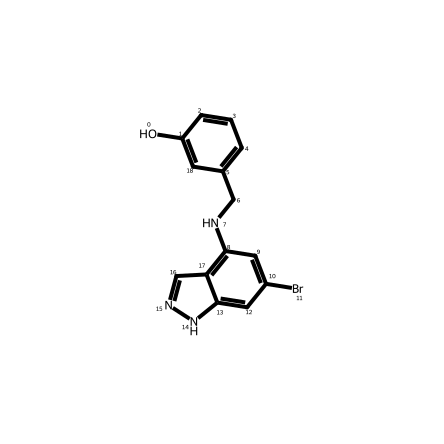 Oc1cccc(CNc2cc(Br)cc3[nH]ncc23)c1